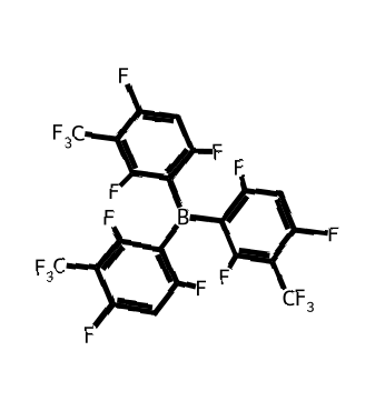 Fc1cc(F)c(C(F)(F)F)c(F)c1B(c1c(F)cc(F)c(C(F)(F)F)c1F)c1c(F)cc(F)c(C(F)(F)F)c1F